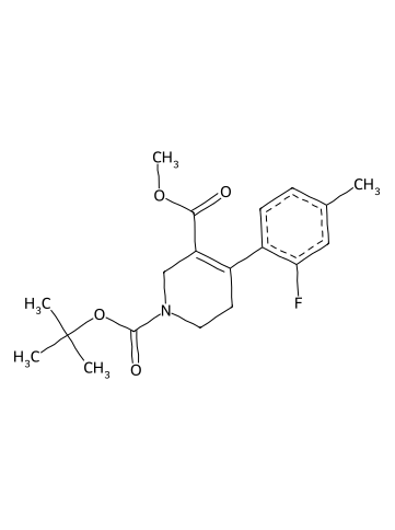 COC(=O)C1=C(c2ccc(C)cc2F)CCN(C(=O)OC(C)(C)C)C1